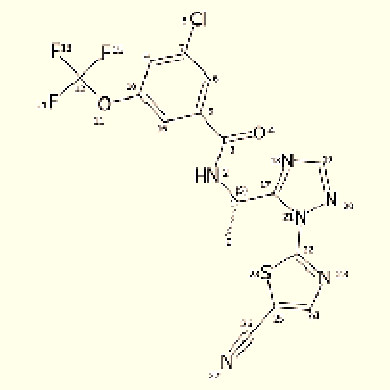 C[C@H](NC(=O)c1cc(Cl)cc(OC(F)(F)F)c1)c1ncnn1-c1ncc(C#N)s1